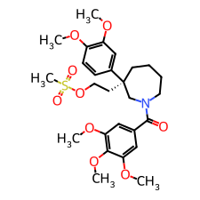 COc1ccc([C@@]2(CCOS(C)(=O)=O)CCCCN(C(=O)c3cc(OC)c(OC)c(OC)c3)C2)cc1OC